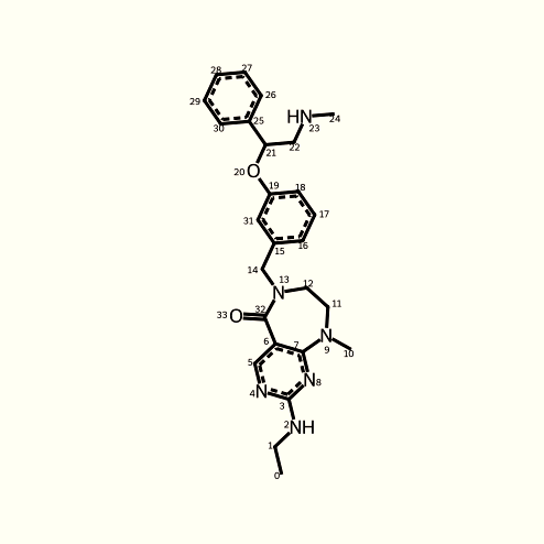 CCNc1ncc2c(n1)N(C)CCN(Cc1cccc(OC(CNC)c3ccccc3)c1)C2=O